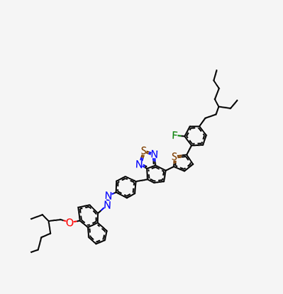 CCCCC(CC)CCc1ccc(-c2ccc(-c3ccc(-c4ccc(N=Nc5ccc(OCC(CC)CCCC)c6ccccc56)cc4)c4nsnc34)s2)c(F)c1